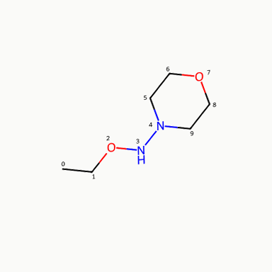 CCONN1CCOCC1